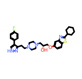 O[C@@H](COc1ccc2sc(C3CCCCC3)nc2c1)CN1CCN(CCc2n[nH]cc2-c2ccc(F)cc2)CC1